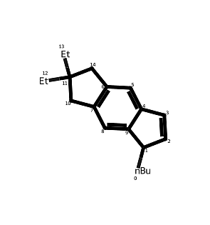 CCCC[C]1C=Cc2cc3c(cc21)CC(CC)(CC)C3